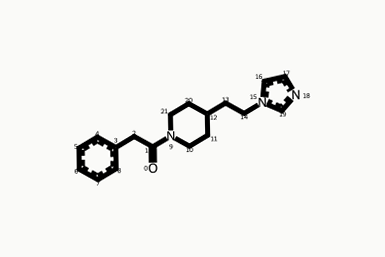 O=C(Cc1ccccc1)N1CCC(CCn2ccnc2)CC1